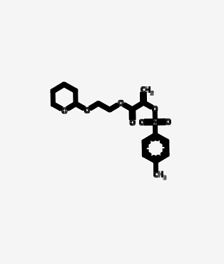 C=C(OS(=O)(=O)c1ccc(C)cc1)C(=O)OCCOC1CCCCO1